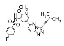 COc1ncc(-c2ccc3nnc(C#CC(C)C)n3n2)cc1NS(=O)(=O)c1ccc(F)cc1